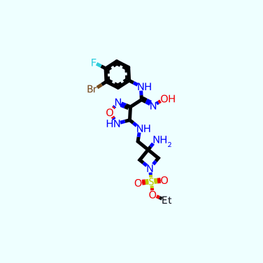 CCOS(=O)(=O)N1CC(N)(CNC2NON=C2/C(=N/O)Nc2ccc(F)c(Br)c2)C1